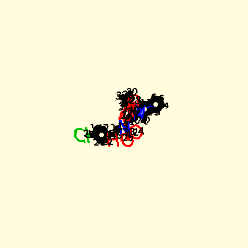 CC1c2ccccc2C[N+]1(CC(=O)N(CCc1ccc(Cl)cc1)C(=O)O)C(=O)OC(C)(C)C